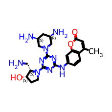 Cc1cc(=O)oc2cc(Nc3nc(N4C[C@H](N)C[C@H](N)C4)nc(N4CC[C@H](O)[C@@H]4CN)n3)ccc12